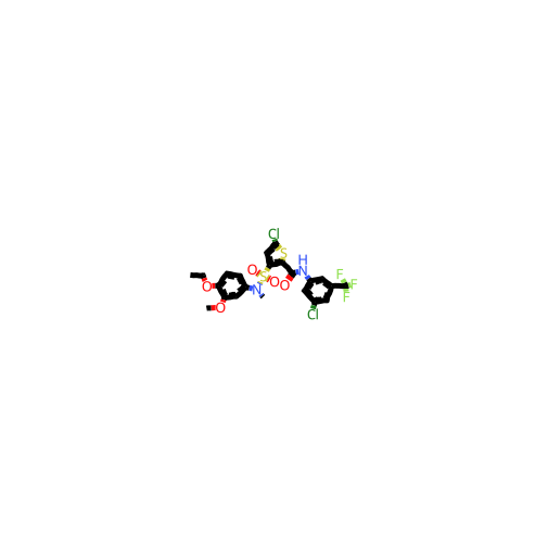 CCOc1ccc(N(C)S(=O)(=O)c2cc(Cl)sc2C(=O)Nc2cc(Cl)cc(C(F)(F)F)c2)cc1OC